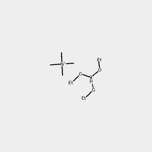 CCO[BH-](OCC)OCC.C[N+](C)(C)C